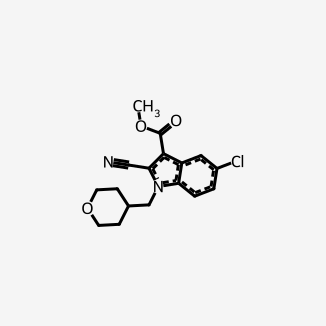 COC(=O)c1c(C#N)n(CC2CCOCC2)c2ccc(Cl)cc12